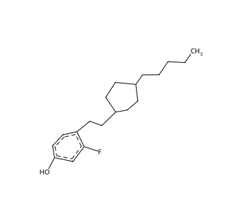 CCCCCC1CCC(CCc2ccc(O)cc2F)CC1